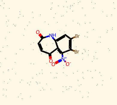 O=c1ccc(=O)c2c([N+](=O)[O-])c(Br)c(Br)cc2[nH]1